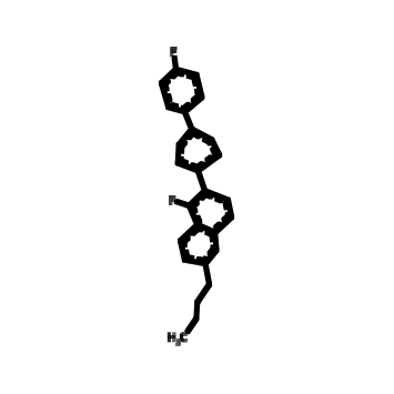 CCCCc1ccc2c(F)c(-c3ccc(-c4ccc(F)cc4)cc3)ccc2c1